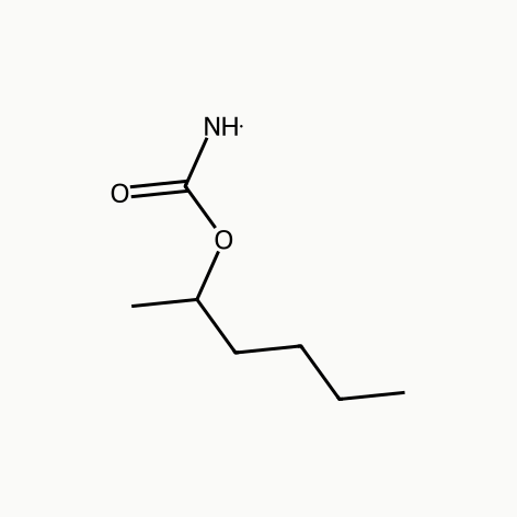 CCCCC(C)OC([NH])=O